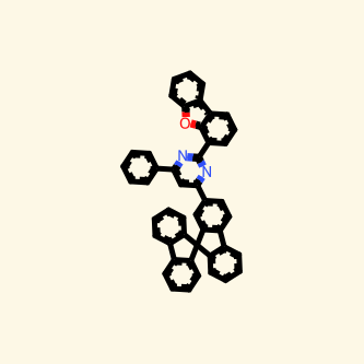 c1ccc(-c2cc(-c3ccc4c(c3)C3(c5ccccc5-c5ccccc53)c3ccccc3-4)nc(-c3cccc4c3oc3ccccc34)n2)cc1